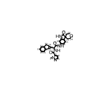 Cn1nccc1C(=O)NC(C(=O)Nc1ccc2c(c1)NC(=O)C21CCOCC1)C1C2Cc3ccccc3C21